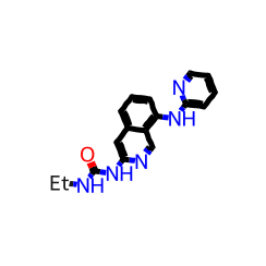 CCNC(=O)Nc1cc2cccc(Nc3ccccn3)c2cn1